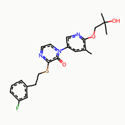 Cc1cc(-n2ccnc(SCCc3cccc(F)c3)c2=O)cnc1OCC(C)(C)O